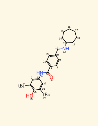 CC(C)(C)c1cc(NC(=O)c2ccc(CNC3CCCCCC3)cc2)cc(C(C)(C)C)c1O